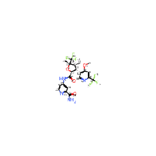 COc1cc(C(F)(F)F)ncc1[C@@H]1[C@@H](C(=O)Nc2ccnc(C(N)=O)c2)O[C@](C)(C(F)(F)F)[C@H]1C